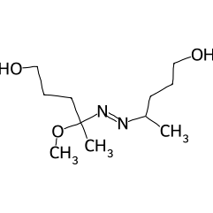 COC(C)(CCCO)/N=N/C(C)CCCO